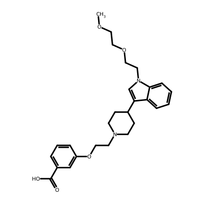 COCCOCCn1cc(C2CCN(CCOc3cccc(C(=O)O)c3)CC2)c2ccccc21